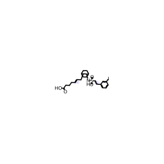 O=C(O)CCC/C=C/CC1C2CCC(CC2)C1NS(=O)(=O)/C=C/c1cccc(I)c1